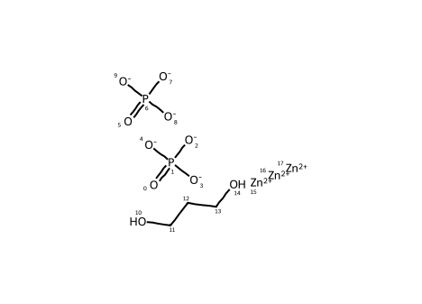 O=P([O-])([O-])[O-].O=P([O-])([O-])[O-].OCCCO.[Zn+2].[Zn+2].[Zn+2]